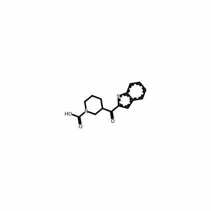 O=C(c1cc2ccccc2s1)C1CCCN(C(=O)O)C1